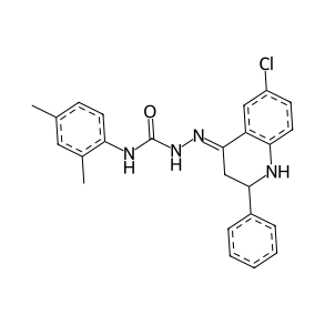 Cc1ccc(NC(=O)NN=C2CC(c3ccccc3)Nc3ccc(Cl)cc32)c(C)c1